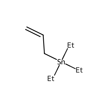 C=C[CH2][Sn]([CH2]C)([CH2]C)[CH2]C